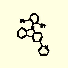 CC(C)c1cccc(C(C)C)c1-n1c2ccccc2c2cc(-c3ccccn3)ccc21